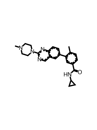 Cc1ccc(C(=O)NC2CC2)cc1-c1ccc2nc(N3CCN(C)CC3)ncc2c1